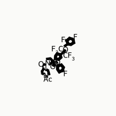 CC(=O)N1CCN(C(=O)N2CC[C@](c3ccc(C(OCc4ccc(F)cc4F)(C(F)(F)F)C(F)(F)F)cc3)(S(=O)(=O)c3ccc(F)cc3)C2)CC1